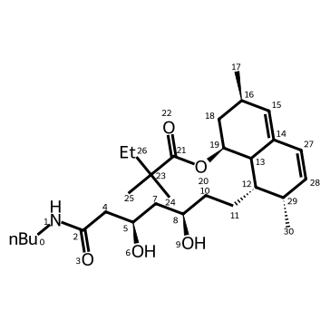 CCCCNC(=O)C[C@H](O)C[C@H](O)CC[C@@H]1C2C(=C[C@H](C)C[C@@H]2OC(=O)C(C)(C)CC)C=C[C@@H]1C